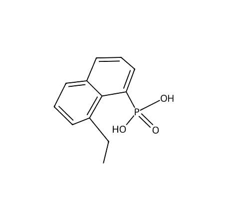 CCc1cccc2cccc(P(=O)(O)O)c12